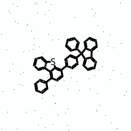 c1ccc(-c2ccc(-c3ccc(C4(c5ccccc5)c5ccccc5-c5ccccc54)cc3)c3sc4ccccc4c23)cc1